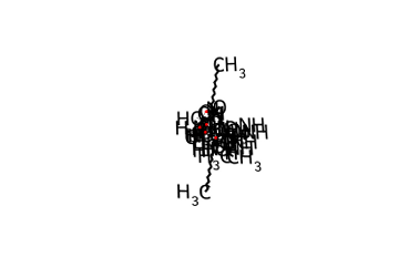 CCCCCCCCCCCCNC(=O)NC[C@H]1O[C@H](OC(C2C(=O)N(CCCCCCCCCCCC)C(=O)N2CCCNC(=O)C(NC(=O)C(NC(=O)NC(C(=O)O)C(C)C)C2CCNC(=N)N2)C(O)C(C)C)[C@H]2O[C@@H](n3ccc(=O)[nH]c3=O)[C@H](O)[C@@H]2O)[C@H](OC)[C@H]1O